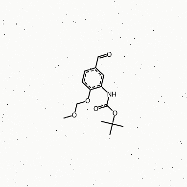 COCOc1ccc(C=O)cc1NC(=O)OC(C)(C)C